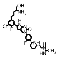 CC(=N)NCC[C@@H]1CCC[C@@H](c2ccc(-n3cc4cc(-c5cc(CCCC(N)CO)cc(Cl)c5F)[nH]c4nc3=O)cc2F)N1